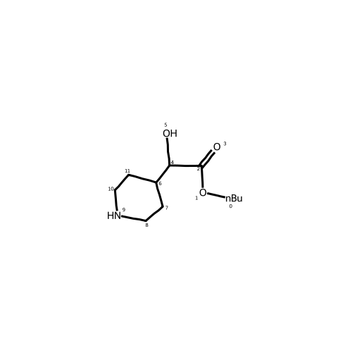 CCCCOC(=O)C(O)C1CCNCC1